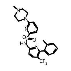 Cc1ccccc1-c1nc(NS(=O)(=O)c2cccc(N3CCN(C)CC3)n2)ccc1C(F)(F)F